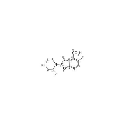 Cc1ccc2oc(N3CCOC[C@H]3C)nc2c1C(=O)O